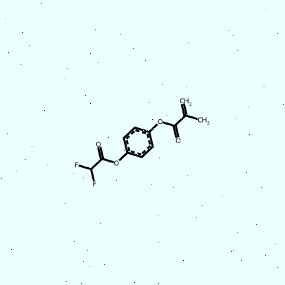 C=C(C)C(=O)Oc1ccc(OC(=O)C(F)F)cc1